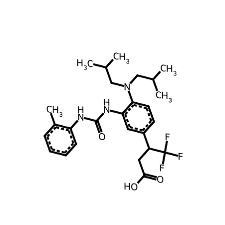 Cc1ccccc1NC(=O)Nc1cc(C(CC(=O)O)C(F)(F)F)ccc1N(CC(C)C)CC(C)C